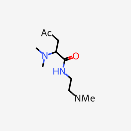 CNCCNC(=O)C(CC(C)=O)N(C)C